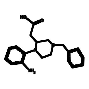 Nc1ccccc1N1CCN(Cc2ccccc2)CC1CC(=O)O